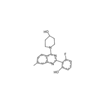 Cc1ccc2c(N3CCC(O)CC3)nc(-c3c(O)cccc3F)nc2c1